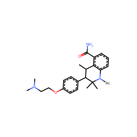 CC(=O)N1c2cc[c]c(C(N)=O)c2C(C)C(c2ccc(OCCN(C)C)cc2)C1(C)C